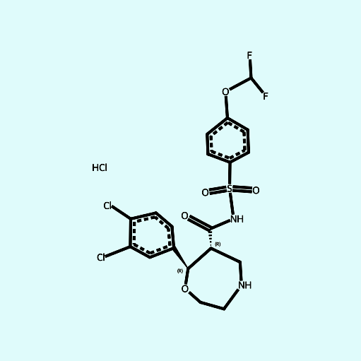 Cl.O=C(NS(=O)(=O)c1ccc(OC(F)F)cc1)[C@@H]1CNCCO[C@H]1c1ccc(Cl)c(Cl)c1